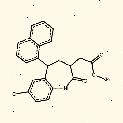 CC(C)OC(=O)CC1SC(c2cccc3ccccc23)c2cc(Cl)ccc2NC1=O